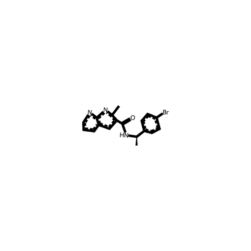 Cc1nc2ncccc2cc1C(=O)N[C@H](C)c1ccc(Br)cc1